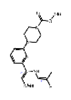 CN/C=C(\N/C=C(\C)F)c1cccc(N2CCN(C(=O)OC(C)(C)C)CC2)n1